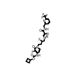 O=C(Nc1ccn(CCC(F)Cn2cc(C(=O)NCc3cccc(C(F)(F)F)n3)nn2)c(=O)c1F)OC1CCC1